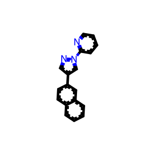 c1ccc(-n2cc(-c3ccc4ccccc4c3)cn2)nc1